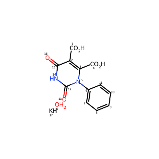 O.O=C(O)c1c(C(=O)O)n(-c2ccccc2)c(=O)[nH]c1=O.[KH]